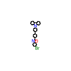 Brc1ccc2nc(-c3ccc(-c4ccc(-n5c6ccccc6c6ccccc65)cc4)cc3)oc2c1